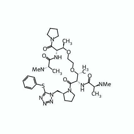 CN[C@@H](C)C(=O)N[C@H](C(=O)N1CCCC1)[C@@H](C)OCCO[C@H](C)[C@H](NC(=O)[C@H](C)NC)C(=O)N1CCC[C@H]1Cn1nnnc1Sc1ccccc1